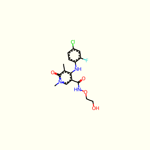 Cc1c(Nc2ccc(Cl)cc2F)c(C(=O)NOCCO)cn(C)c1=O